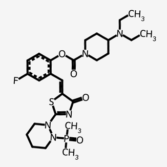 CCN(CC)C1CCN(C(=O)Oc2ccc(F)cc2/C=C2\SC(N3CCCCN3P(C)(C)=O)=NC2=O)CC1